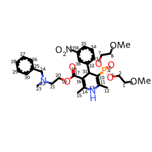 COCCOP(=O)(OCCOC)C1=C(C)NC(C)=C(C(=O)OCCN(C)Cc2ccccc2)C1c1cccc([N+](=O)[O-])c1